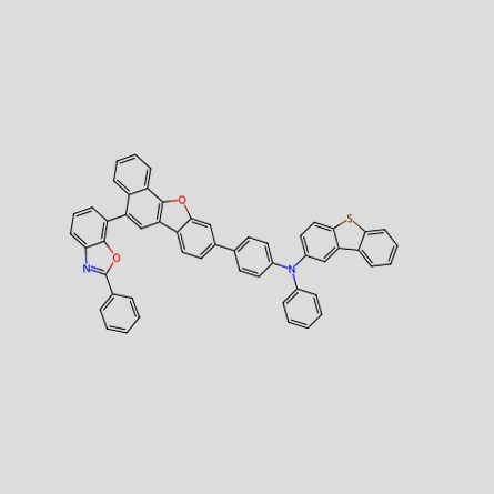 c1ccc(-c2nc3cccc(-c4cc5c6ccc(-c7ccc(N(c8ccccc8)c8ccc9sc%10ccccc%10c9c8)cc7)cc6oc5c5ccccc45)c3o2)cc1